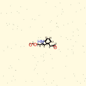 O=COCCc1cc2c(CC3CO3)cccc2[nH]1